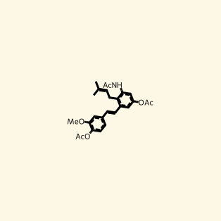 COc1cc(C=Cc2cc(OC(C)=O)cc(NC(C)=O)c2CC=C(C)C)ccc1OC(C)=O